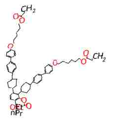 C=CC(=O)OCCCCCCOc1ccc(-c2ccc(C3CCC(c4ccc(C(=O)OCCC)c(OC(=O)CC)c4C4CCC(c5ccc(-c6ccc(OCCCCCCOC(=O)C=C)cc6)cc5)CC4)CC3)cc2)cc1